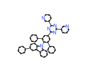 c1ccc(-c2ccc3c(c2)c2ccccc2n3-c2c(-c3ccccc3)cc(-c3nc(-c4cccnc4)nc(-c4cccnc4)n3)cc2-c2ccccc2)cc1